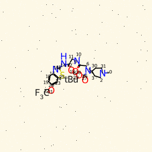 CN1CCC(N(CC(=O)N(C)CC(=O)Nc2nc3ccc(OC(F)(F)F)cc3s2)C(=O)OC(C)(C)C)CC1